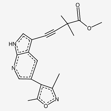 COC(=O)C(C)(C)C#Cc1c[nH]c2ncc(-c3c(C)noc3C)cc12